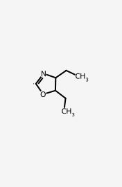 CCC1N=[C]OC1CC